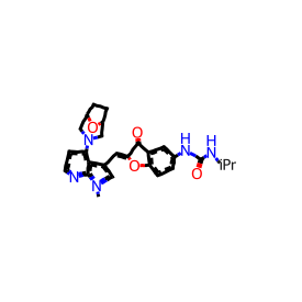 CC(C)NC(=O)Nc1ccc2c(c1)C(=O)C(=Cc1cn(C)c3nccc(N4CC5CCC(C4)O5)c13)O2